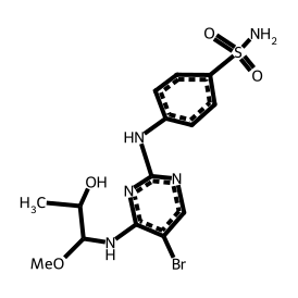 COC(Nc1nc(Nc2ccc(S(N)(=O)=O)cc2)ncc1Br)C(C)O